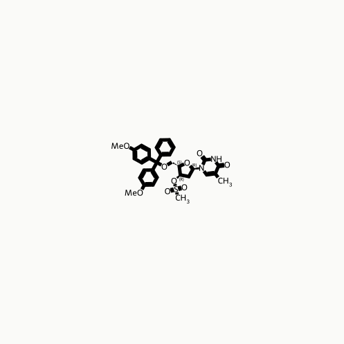 COc1ccc(C(OC[C@@H]2O[C@@H](n3cc(C)c(=O)[nH]c3=O)C[C@H]2OS(C)(=O)=O)(c2ccccc2)c2ccc(OC)cc2)cc1